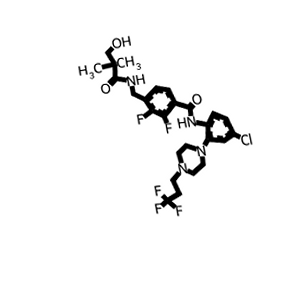 CC(C)(CO)C(=O)NCc1ccc(C(=O)Nc2ccc(Cl)cc2N2CCN(CCC(F)(F)F)CC2)c(F)c1F